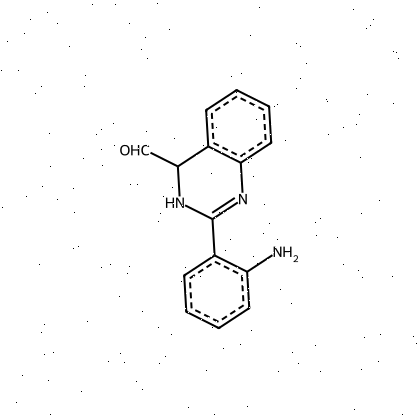 Nc1ccccc1C1=Nc2ccccc2C(C=O)N1